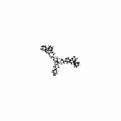 C1=CC(c2ccc(N(c3ccc(-c4ccccc4)cc3)c3ccc(-c4ccc(-c5cccc6c5oc5ccccc56)cc4)cc3)cc2)=CC=C(c2cccc3c2oc2ccccc23)C1